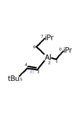 CC(C)[CH2][Al](/[CH]=C/C(C)(C)C)[CH2]C(C)C